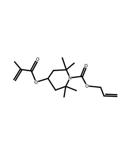 C=CCOC(=O)N1C(C)(C)CC(OC(=O)C(=C)C)CC1(C)C